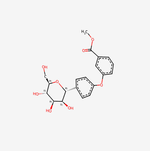 COC(=O)c1cccc(Oc2ccc([C@H]3O[C@H](CO)[C@@H](O)[C@H](O)[C@@H]3O)cc2)c1